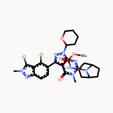 Cn1nc2ccc(-c3nn(C4CCCCO4)c4nc(N5C6CCC5CC(NC(=O)OC(C)(C)C)C6)n(C)c(=O)c34)c(Cl)c2c1Cl